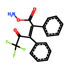 NOC(=O)C(=C(C(=O)C(F)(F)F)c1ccccc1)c1ccccc1